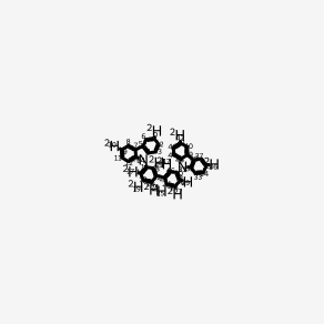 [2H]c1ccc2c(c1)c1cc([2H])ccc1n2-c1c([2H])c([2H])c([2H])c(-c2c([2H])c([2H])c([2H])c(-n3c4ccc([2H])cc4c4cc([2H])ccc43)c2[2H])c1[2H]